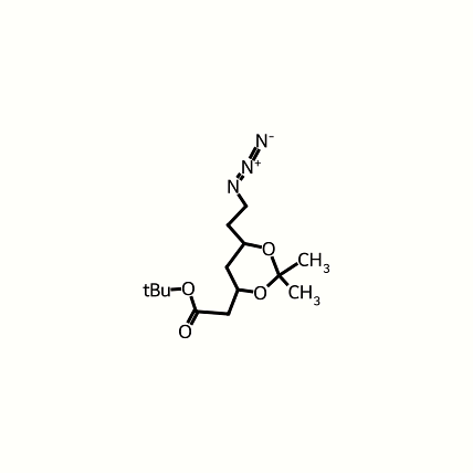 CC(C)(C)OC(=O)CC1CC(CCN=[N+]=[N-])OC(C)(C)O1